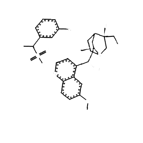 CC(c1cccc(N)c1)S(=O)(=O)O.CC[C@@H]1CN2CCC1C[C@H]2[C@H](O)c1ccnc2ccc(OC)cc12